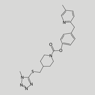 Cc1ccc(Cc2ccc(OC(=O)N3CCC(CSc4nnnn4C)CC3)cc2)nc1